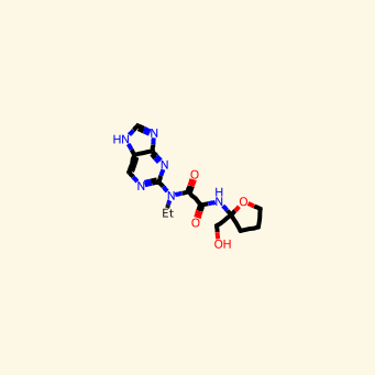 CCN(C(=O)C(=O)NC1(CO)CCCO1)c1ncc2[nH]cnc2n1